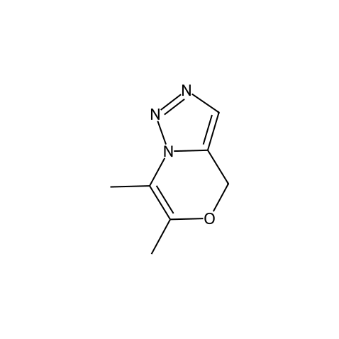 CC1=C(C)n2nncc2CO1